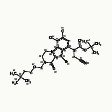 CC(C)(C)OC(=O)N(CC#N)c1cc(Cl)c(Cl)c2c1c(Br)c1n2CCN(COCC[Si](C)(C)C)C1=O